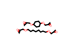 C(CCCCOCC1CO1)CCCOCC1CO1.C1CC(OCC2CO2)CCC1OCC1CO1